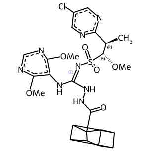 COc1ncnc(OC)c1N/C(=N/S(=O)(=O)[C@@H](OC)[C@H](C)c1ncc(Cl)cn1)NNC(=O)C12C3C4C5C3C1C5C42